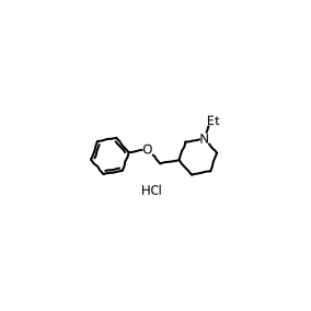 CCN1CCCC(COc2ccccc2)C1.Cl